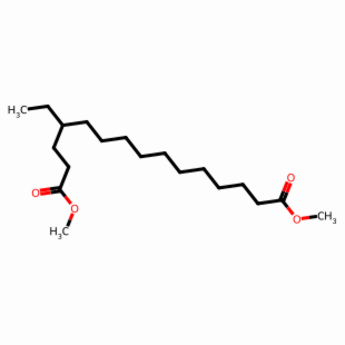 CCC(CCCCCCCCCCC(=O)OC)CCC(=O)OC